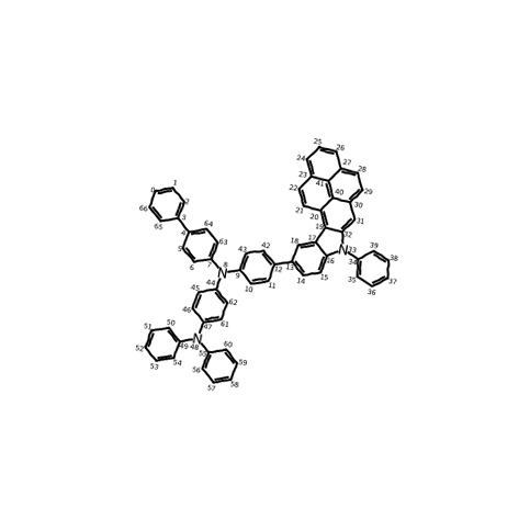 c1ccc(-c2ccc(N(c3ccc(-c4ccc5c(c4)c4c6ccc7cccc8ccc(cc4n5-c4ccccc4)c6c87)cc3)c3ccc(N(c4ccccc4)c4ccccc4)cc3)cc2)cc1